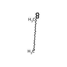 CCCCCCCCCCCCCCCCCCCCCCCCC(C)c1ccc2ccccc2c1